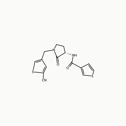 N#Cc1cc(CN2CC[C@H](NC(=O)c3ccsc3)C2=O)cs1